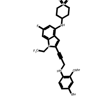 COc1cc(C(C)(C)C)ccc1NCC#Cc1cc2c(NC3CCS(=O)(=O)CC3)cc(F)cc2n1CC(F)(F)F